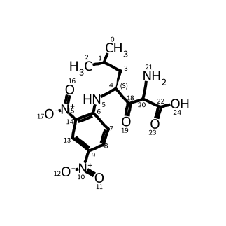 CC(C)C[C@H](Nc1ccc([N+](=O)[O-])cc1[N+](=O)[O-])C(=O)C(N)C(=O)O